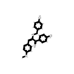 COc1ccc(/C=C(/SCc2ccc(Cl)cc2)C(=O)c2ccc(Cl)cc2)cc1